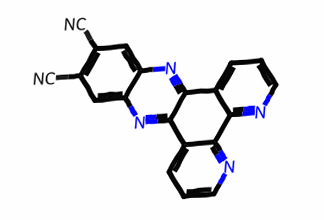 N#Cc1cc2nc3c4cccnc4c4ncccc4c3nc2cc1C#N